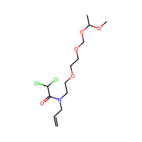 C=CCN(CCOCCOCOC(C)OC)C(=O)C(Cl)Cl